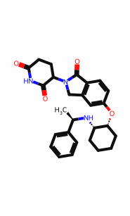 C[C@@H](N[C@H]1CCCC[C@H]1Oc1ccc2c(c1)CN(C1CCC(=O)NC1=O)C2=O)c1ccccc1